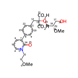 COCCn1cccc(-c2ccc(CC(OC[C@H](CO)OC)(C(=O)O)C(=O)O)cc2)c1=O